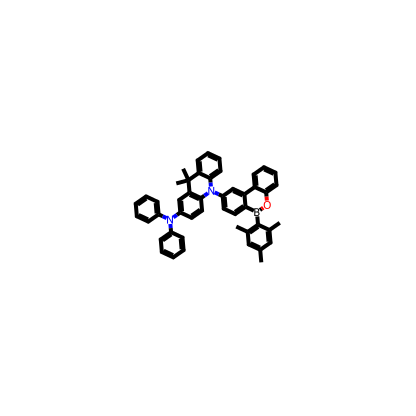 Cc1cc(C)c(B2Oc3ccccc3-c3cc(N4c5ccccc5C(C)(C)c5cc(N(c6ccccc6)c6ccccc6)ccc54)ccc32)c(C)c1